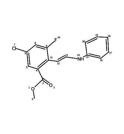 COC(=O)c1[c]c(Cl)cc(F)c1C=CNc1ccccc1